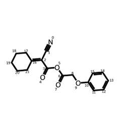 N#CC(C(=O)OC(=O)COc1ccccc1)=C1CCCCC1